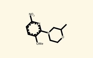 COc1ccc([N+](=O)[O-])nc1N1CCOC(C)C1